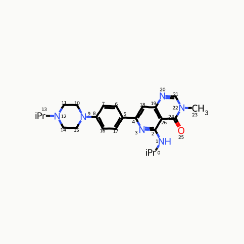 CC(C)Nc1nc(-c2ccc(N3CCN(C(C)C)CC3)cc2)cc2ncn(C)c(=O)c12